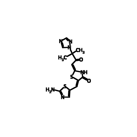 CC(C)(C(=O)/C=c1\[nH]c(=O)/c(=C/c2cnc(N)s2)s1)n1cncn1